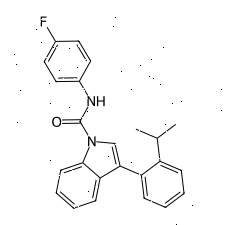 CC(C)c1ccccc1-c1cn(C(=O)Nc2ccc(F)cc2)c2ccccc12